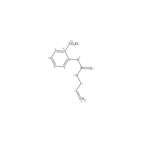 C=CCOC(=O)Oc1ccccc1C(=O)OCC